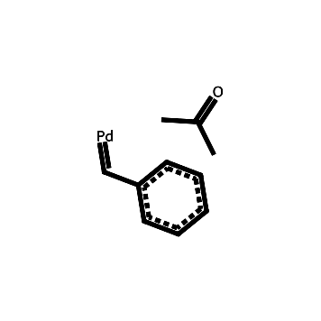 CC(C)=O.[Pd]=[CH]c1ccccc1